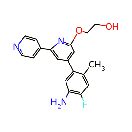 Cc1cc(F)c(N)cc1-c1cc(OCCO)nc(-c2ccncc2)c1